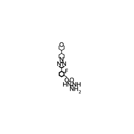 N=C(N)NC(=O)OCc1cccc(-c2cnc(N3CCC(C4CCOCC4)CC3)nc2)c1F